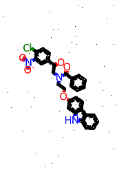 O=C(CN(CCOc1ccc2c(c1)[nH]c1ccccc12)C(=O)c1ccccc1)c1ccc(Cl)c([N+](=O)[O-])c1